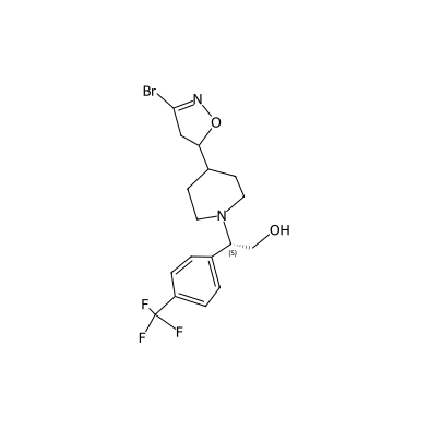 OC[C@H](c1ccc(C(F)(F)F)cc1)N1CCC(C2CC(Br)=NO2)CC1